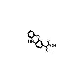 CC(C(=O)O)c1ccc2c(c1)Oc1ccccc1N2